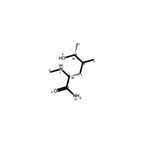 CN[C@H](CC(C)[C@@H](C)O)C(N)=O